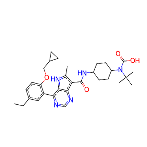 CCc1ccc(OCC2CC2)c(-c2ncnc3c(C(=O)NC4CCC(N(C(=O)O)C(C)(C)C)CC4)c(C)[nH]c23)c1